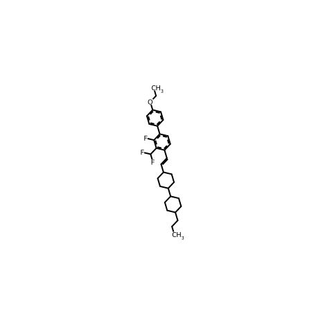 CCCC1CCC(C2CCC(/C=C/c3ccc(-c4ccc(OCC)cc4)c(F)c3C(F)F)CC2)CC1